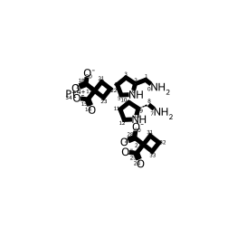 NCC1CCCN1.NC[C@H]1CCCN1.O=C([O-])C1(C(=O)[O-])CCC1.O=C([O-])C1(C(=O)[O-])CCC1.[Pt+4]